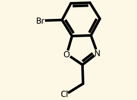 ClCc1nc2cccc(Br)c2o1